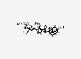 COC(=O)NC(C)(C)/C=C/n1ncc(C(=O)N[C@H]2C3CC4CC2C[C@](O)(C4)C3)c1SC(C)C